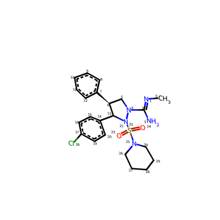 CN=C(N)N1C[C@H](c2ccccc2)C(c2ccc(Cl)cc2)N1S(=O)(=O)N1CCCCC1